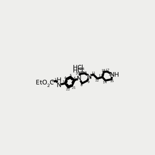 CCOC(=O)CNc1ccc(N2CCN(CCC3CCNCC3)CC2)cc1.Cl.Cl